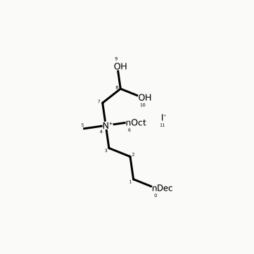 CCCCCCCCCCCCC[N+](C)(CCCCCCCC)CC(O)O.[I-]